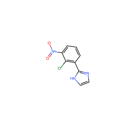 O=[N+]([O-])c1cccc(-c2ncc[nH]2)c1Cl